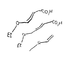 C=C[Si]C.CCOC=CC(=O)O.CCOC=CC(=O)O